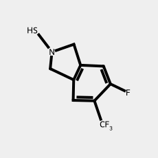 Fc1cc2c(cc1C(F)(F)F)CN(S)C2